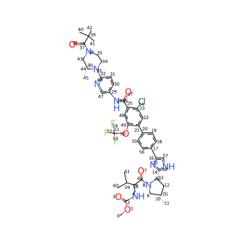 COC(=O)N[C@H](C(=O)N1C[C@@H](C)C[C@H]1c1nc(-c2ccc(-c3cc(Cl)c(C(=O)Nc4ccc(N5CCN(C(=O)C(C)(C)C)C[C@H]5C)nc4)cc3OC(F)(F)F)cc2)c[nH]1)C(C)C